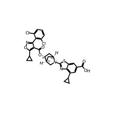 O=C(O)c1cc(C2CC2)c2nc(N3C[C@@H]4C[C@H]3C[C@H]4OC(=O)c3c(-c4c(Cl)cccc4Cl)noc3C3CC3)sc2c1